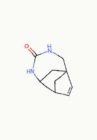 O=C1NCC23C=CC(C2)C(C3)N1